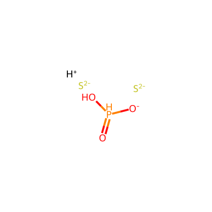 O=[PH]([O-])O.[H+].[S-2].[S-2]